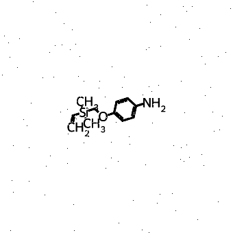 C=C[Si](C)(C)COc1ccc(N)cc1